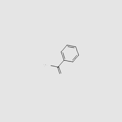 CSC(=S)c1ccccc1